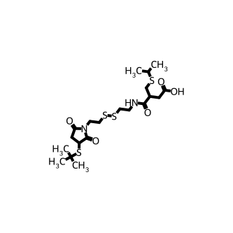 CC(C)SCC(CC(=O)O)C(=O)NCCSSCCN1C(=O)CC(SC(C)(C)C)C1=O